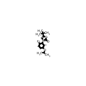 CC(C)Oc1ccc(F)c(-n2nc(C(C)(C)C)oc2=O)c1